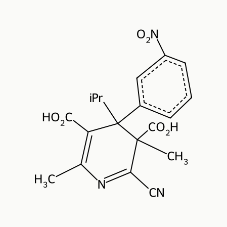 CC1=C(C(=O)O)C(c2cccc([N+](=O)[O-])c2)(C(C)C)C(C)(C(=O)O)C(C#N)=N1